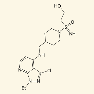 CCn1nc(Cl)c2c(NCC3CCN(S(=N)(=O)CCO)CC3)ccnc21